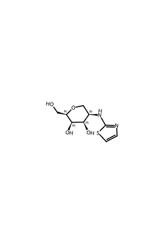 OC[C@H]1OC[C@@H](Nc2nccs2)[C@@H](O)[C@H]1O